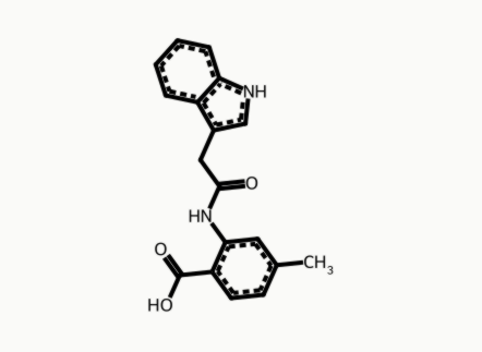 Cc1ccc(C(=O)O)c(NC(=O)Cc2c[nH]c3ccccc23)c1